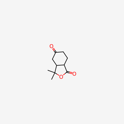 CC1(C)OC(=O)C2CCC(=O)CC21